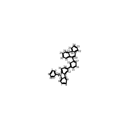 c1ccc(-n2c3ccccc3c3cc(-c4cccc(-c5cc6ccccc6c6ccccc56)c4)ccc32)cc1